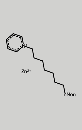 CCCCCCCCCCCCCCCC[n+]1ccccc1.[Zn+2]